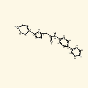 O=C(Cc1ccc(C2=CCOCC2)s1)Nc1ccc(-c2cnccn2)cn1